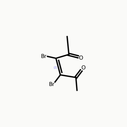 CC(=O)/C(Br)=C(/Br)C(C)=O